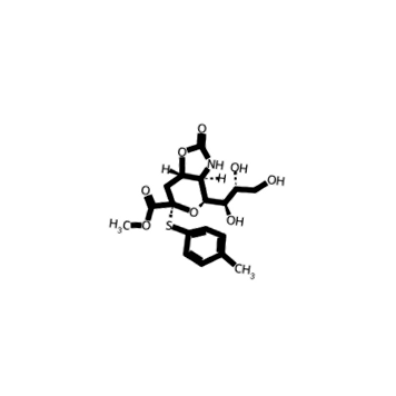 COC(=O)[C@@]1(Sc2ccc(C)cc2)C[C@@H]2OC(=O)N[C@H]2[C@H]([C@H](O)[C@H](O)CO)O1